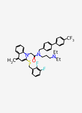 C=C1C=C(SCc2cccc(F)c2F)N(CC(=O)N(CCCN(CC)CC)Cc2ccc(-c3ccc(C(F)(F)F)cc3)cc2)c2ccccc21